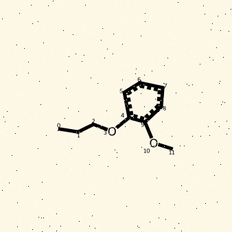 C[CH]COc1ccccc1OC